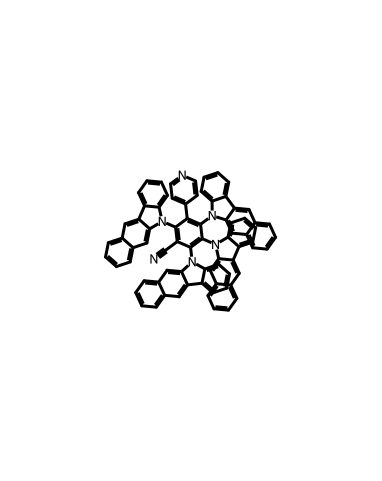 N#Cc1c(-n2c3ccccc3c3cc4ccccc4cc32)c(-c2ccncc2)c(-n2c3ccccc3c3cc4ccccc4cc32)c(-n2c3ccccc3c3cc4ccccc4cc32)c1-n1c2ccccc2c2cc3ccccc3cc21